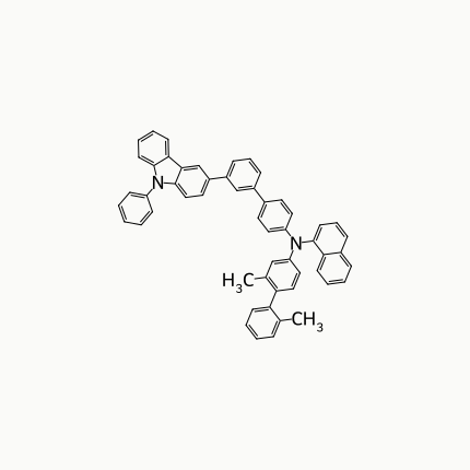 Cc1ccccc1-c1ccc(N(c2ccc(-c3cccc(-c4ccc5c(c4)c4ccccc4n5-c4ccccc4)c3)cc2)c2cccc3ccccc23)cc1C